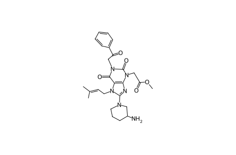 COC(=O)Cn1c(=O)n(CC(=O)c2ccccc2)c(=O)c2c1nc(N1CCCC(N)C1)n2CC=C(C)C